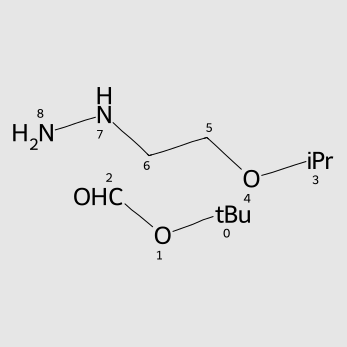 CC(C)(C)OC=O.CC(C)OCCNN